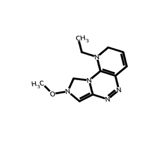 CCN1CC=CC2=C1N1CN(OC)C=C1N=N2